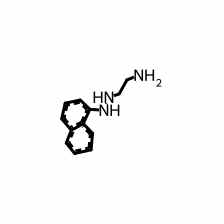 NCCNNc1cccc2ccccc12